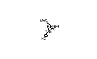 C=CCC(CC(COCOCCOC)NC(=O)c1ccc(C#N)cc1)C(=O)NO